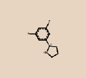 Fc1cc(F)cc([C@H]2CCCN2)c1